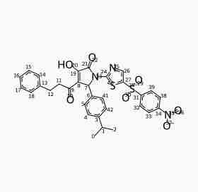 CC(C)c1ccc(C2C(C(=O)CCc3ccccc3)=C(O)C(=O)N2c2ncc(S(=O)(=O)c3ccc([N+](=O)[O-])cc3)s2)cc1